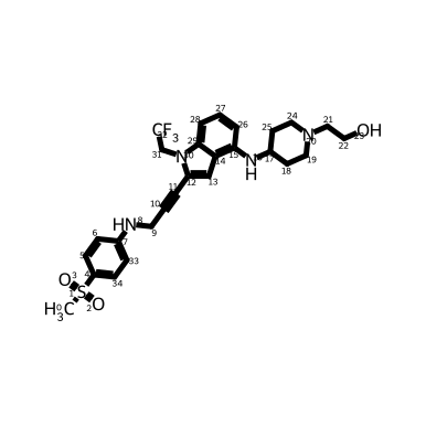 CS(=O)(=O)c1ccc(NCC#Cc2cc3c(NC4CCN(CCO)CC4)cccc3n2CC(F)(F)F)cc1